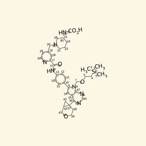 C[Si](C)(C)CCOCn1c(-c2ccc(NC(=O)c3cc(CN4CCC[C@@H](NC(=O)O)C4)ccn3)cc2)cc2c(C34CCOCC3C4)ncnc21